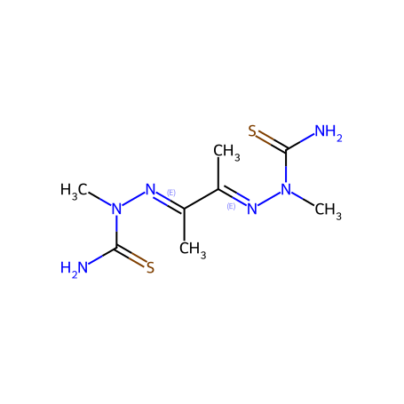 CC(=N\N(C)C(N)=S)/C(C)=N/N(C)C(N)=S